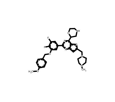 COc1ccc(COc2cc(-c3nc(C4CNCCO4)c4sc(CN5CCN(C)CC5)cc4n3)cc(F)c2F)cc1